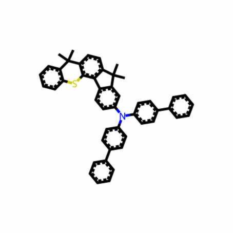 CC1(C)c2ccccc2Sc2c1ccc1c2-c2ccc(N(c3ccc(-c4ccccc4)cc3)c3ccc(-c4ccccc4)cc3)cc2C1(C)C